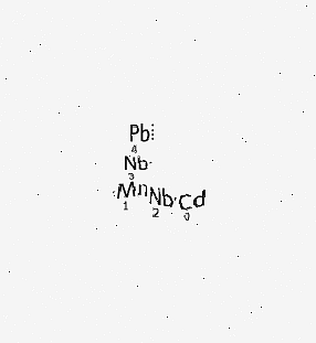 [Cd].[Mn].[Nb].[Nb].[Pb]